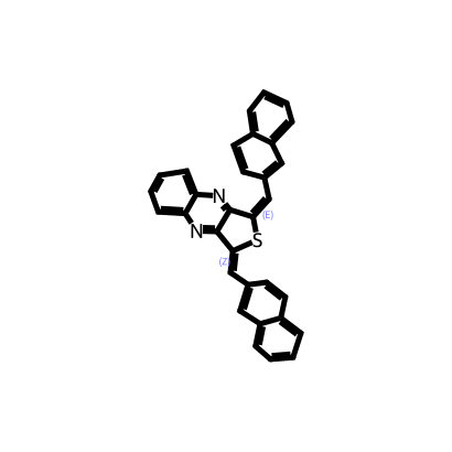 C(/c1ccc2ccccc2c1)=c1/s/c(=C/c2ccc3ccccc3c2)c2nc3ccccc3nc12